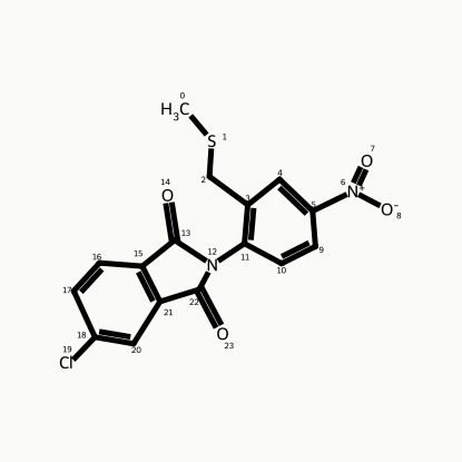 CSCc1cc([N+](=O)[O-])ccc1N1C(=O)c2ccc(Cl)cc2C1=O